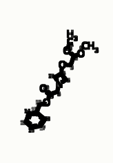 COC(COC1CN(CC(=O)OCc2ccccc2)C1)OC